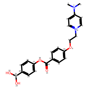 CN(C)c1cc[n+](CCOc2ccc(C(=O)Oc3ccc(B(O)O)cc3)cc2)cc1